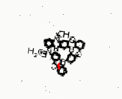 CSN1c2cc3c(cc2B2c4cc5c(cc4N(SC)c4cccc1c42)Oc1cccc2c1B5c1ccccc1O2)B1c2ccccc2Oc2cccc(c21)O3